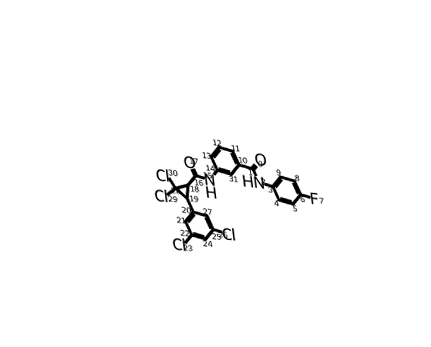 O=C(Nc1ccc(F)cc1)c1cccc(NC(=O)C2C(c3cc(Cl)cc(Cl)c3)C2(Cl)Cl)c1